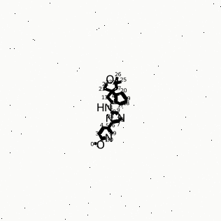 COc1ccc(-c2cncc(NCCC3(c4ccccc4)CCOC(C)(C)C3)n2)cn1